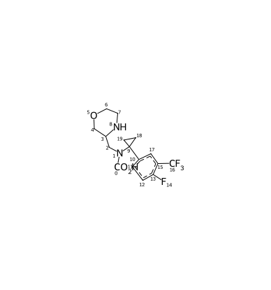 O=C(O)N(CC1COCCN1)C1(c2ccc(F)c(C(F)(F)F)c2)CC1